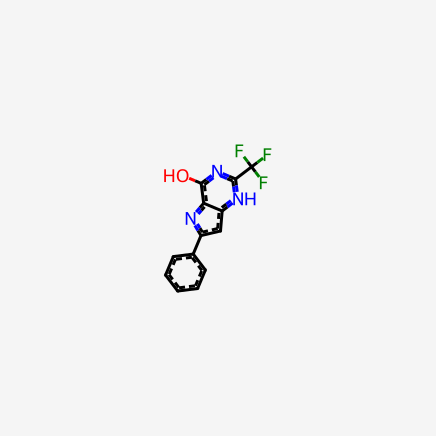 Oc1nc(C(F)(F)F)[nH]c2cc(-c3ccccc3)nc1-2